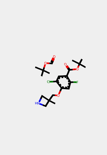 CC(C)(C)OC=O.CC1(COc2cc(F)c(C(=O)OC(C)(C)C)cc2Cl)CNC1